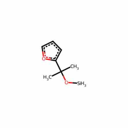 CC(C)(O[SiH3])c1ccco1